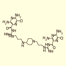 N=C(NCCCNC1CCN(CCCNC(=N)NC(=O)c2nc(Cl)c(N)nc2N)CC1)NC(=O)c1nc(Cl)c(N)nc1N